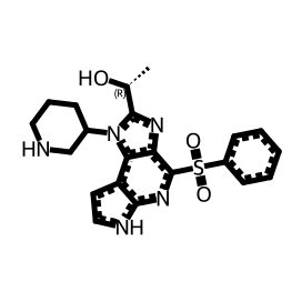 C[C@@H](O)c1nc2c(S(=O)(=O)c3ccccc3)nc3[nH]ccc3c2n1C1CCCNC1